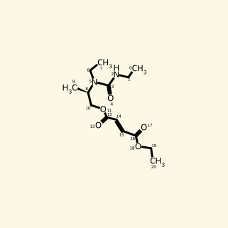 CCNC(=O)N(CC)[C@H](C)COC(=O)/C=C/C(=O)OCC